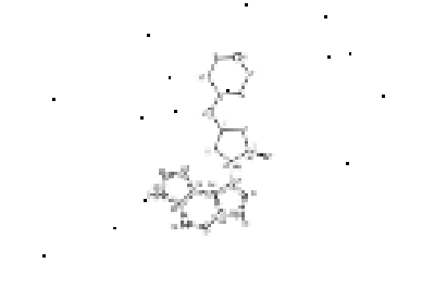 C[C@@H]1CC(OC2CCOCC2)C[C@H]1c1cnc2cnc3[nH]ccc3n12